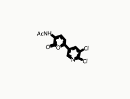 CC(=O)Nc1ccc(-c2cnc(Cl)c(Cl)c2)oc1=O